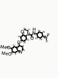 COc1cc2nccc(Oc3ccc4c(c3)OCCN4C(=O)Nc3ccc(N(C)C)cc3)c2cc1OC